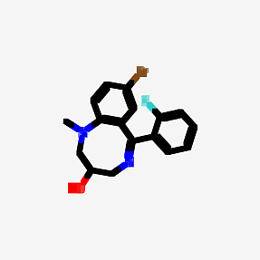 CN1CC(O)C/N=C(/c2ccccc2F)c2cc(Br)ccc21